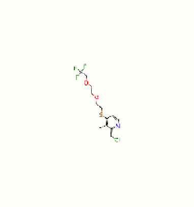 Cc1c(SCCOCCOCC(F)(F)F)ccnc1CCl